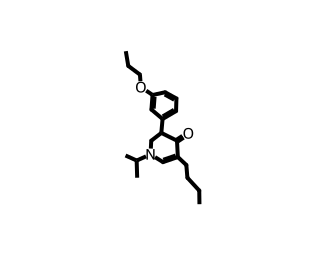 CCCCC1=CN(C(C)C)CC(c2cccc(OCCC)c2)C1=O